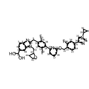 OC(O)c1ccc2nc(Cc3cc(F)c(-c4cccc(OCc5ccc(-c6cn(C7CC7)nn6)cc5F)n4)cc3F)n(C[C@@H]3CCO3)c2c1